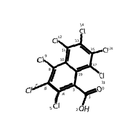 O=C(O)c1c(Cl)c(Cl)c(Cl)c2c(Cl)c(Cl)c(Cl)c(Cl)c12